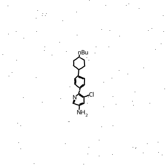 CCCCC1CCC(c2ccc(-c3ncc(N)cc3Cl)cc2)CC1